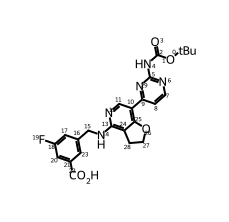 CC(C)(C)OC(=O)Nc1nccc(-c2cnc(NCc3cc(F)cc(C(=O)O)c3)c3c2OCC3)n1